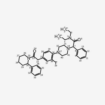 CCN(CC)C(=O)C(c1ccccc1)N1CCN(c2ccc(CC(=O)N3CCCCC3c3ccccc3)cc2F)CC1